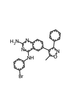 Cc1onc(-c2ccccc2)c1-c1ccc2nc(N)nc(Nc3cccc(Br)c3)c2c1